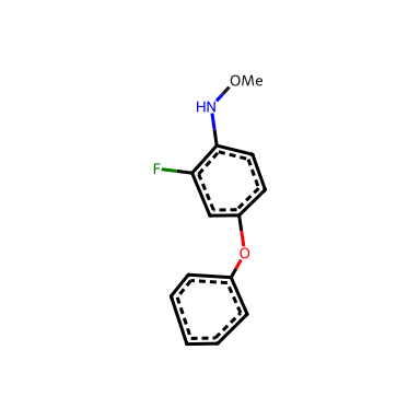 CONc1ccc(Oc2ccccc2)cc1F